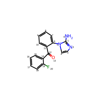 Nc1nccn1-c1ccccc1C(=O)c1ccccc1F